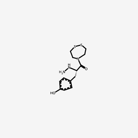 NN[C@@H](Cc1ccc(O)cc1)C(=O)N1CCSSCC1